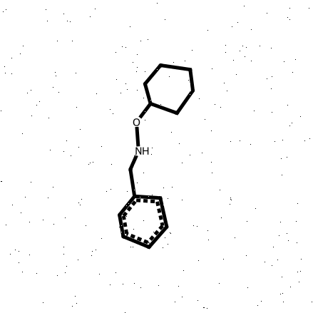 c1ccc(CNOC2CCCCC2)cc1